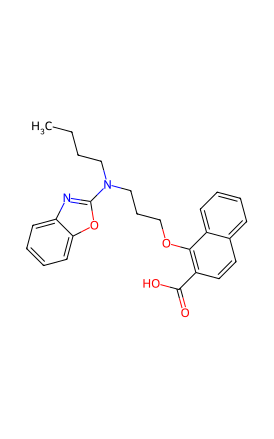 CCCCN(CCCOc1c(C(=O)O)ccc2ccccc12)c1nc2ccccc2o1